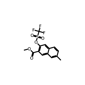 COC(=O)c1cc2cc(C)ccc2cc1OS(=O)(=O)C(F)(F)F